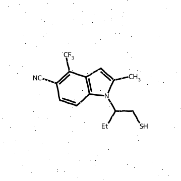 CCC(CS)n1c(C)cc2c(C(F)(F)F)c(C#N)ccc21